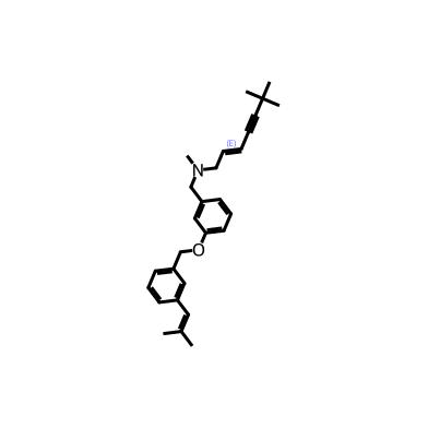 CC(C)=Cc1cccc(COc2cccc(CN(C)C/C=C/C#CC(C)(C)C)c2)c1